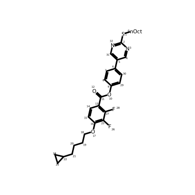 CCCCCCCCSc1ncc(-c2ccc(OC(=O)c3ccc(OCCCCC4CC4)c(F)c3F)cc2)cn1